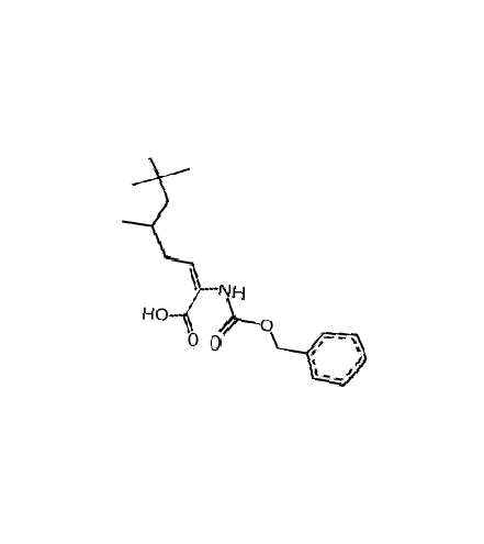 CC(CC=C(NC(=O)OCc1ccccc1)C(=O)O)CC(C)(C)C